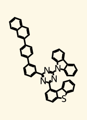 c1cc(-c2ccc(-c3ccc4ccccc4c3)cc2)cc(-c2nc(-c3cccc4sc5ccccc5c34)nc(-n3c4ccccc4c4ccccc43)n2)c1